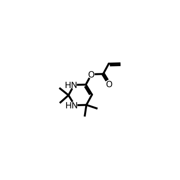 C=CC(=O)OC1=CC(C)(C)NC(C)(C)N1